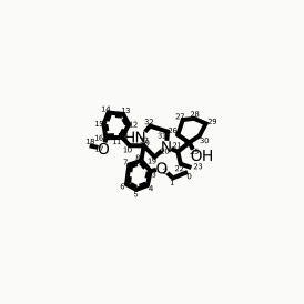 CCOc1ccccc1C1(Cc2ccccc2OC)CN(C(CC)C2(O)CCCCC2)CCN1